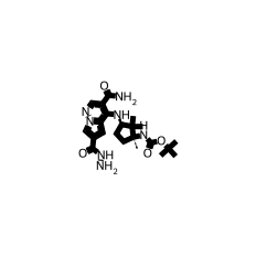 CC(C)(C)OC(=O)N[C@@]1(C)CC[C@@H](Nc2c(C(N)=O)cnn3cc(C(=O)NN)cc23)C1(C)C